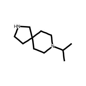 CC(C)N1CCC2(CCNC2)CC1